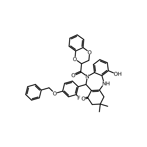 CC1(C)CC(=O)C2=C(C1)Nc1c(O)cccc1N(C(=O)C1COc3ccccc3O1)C2c1ccc(OCc2ccccc2)cc1F